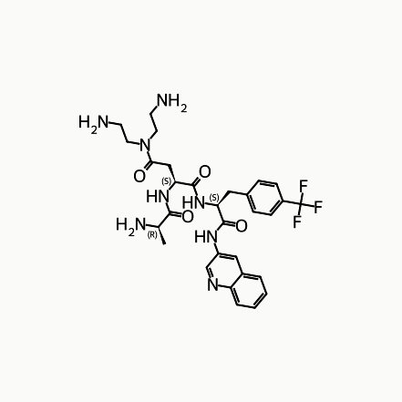 C[C@@H](N)C(=O)N[C@@H](CC(=O)N(CCN)CCN)C(=O)N[C@@H](Cc1ccc(C(F)(F)F)cc1)C(=O)Nc1cnc2ccccc2c1